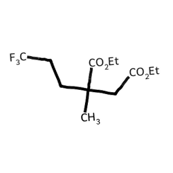 CCOC(=O)CC(C)(CCC(F)(F)F)C(=O)OCC